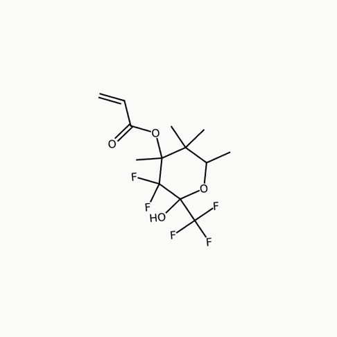 C=CC(=O)OC1(C)C(C)(C)C(C)OC(O)(C(F)(F)F)C1(F)F